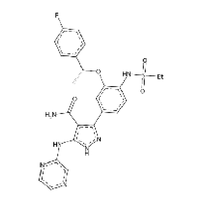 CCS(=O)(=O)Nc1ccc(-c2n[nH]c(Nc3cnccn3)c2C(N)=O)cc1O[C@H](C)c1ccc(F)cc1